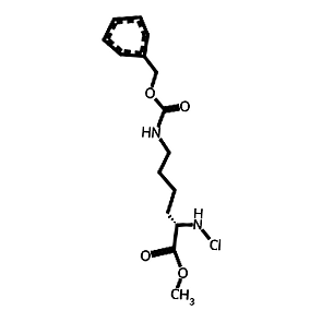 COC(=O)[C@H](CCCCNC(=O)OCc1ccccc1)NCl